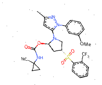 COc1cccc(-n2nc(C)cc2N2C[C@H](S(=O)(=O)c3ccccc3C(F)(F)F)C[C@H]2OC(=O)NC2(C#N)CC2)c1